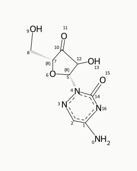 Nc1cnn([C@@H]2O[C@H](CO)C(=O)C2O)c(=O)n1